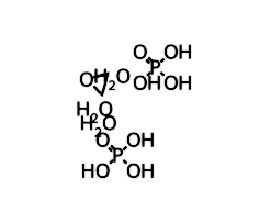 C1CO1.O.O.O.O=P(O)(O)O.O=P(O)(O)O